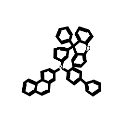 c1ccc(-c2ccc(N(c3cccc(C4(c5ccccc5)c5ccccc5Oc5ccccc54)c3)c3ccc4c(ccc5ccccc54)c3)cc2)cc1